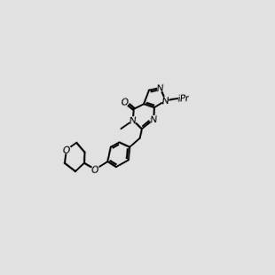 CC(C)n1ncc2c(=O)n(C)c(Cc3ccc(OC4CCOCC4)cc3)nc21